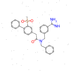 CS(=O)(=O)c1cc(CC(=O)N(Cc2ccccc2)Cc2cccc(C(=N)N)c2)ccc1-c1ccccc1